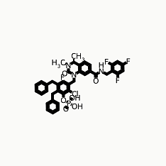 C[C@H]1c2ccc(C(=O)NCc3c(F)cc(F)cc3F)cc2N(Cc2c(F)c(Cc3ccccc3)c(Cc3ccccc3)c(OP(=O)(O)O)c2Cl)C(=O)N1C